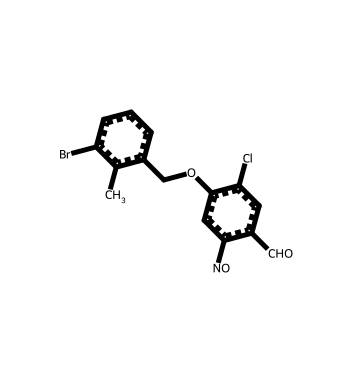 Cc1c(Br)cccc1COc1cc(N=O)c(C=O)cc1Cl